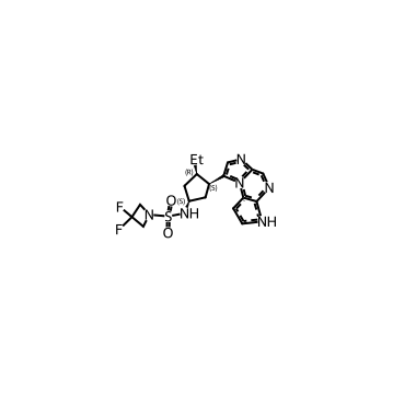 CC[C@@H]1C[C@H](NS(=O)(=O)N2CC(F)(F)C2)C[C@@H]1c1cnc2cnc3[nH]ccc3n12